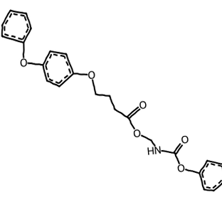 O=C(CCCOc1ccc(Oc2ccccc2)cc1)OCNC(=O)Oc1ccccc1